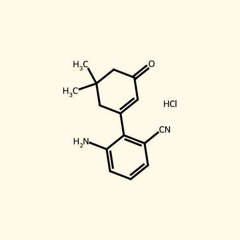 CC1(C)CC(=O)C=C(c2c(N)cccc2C#N)C1.Cl